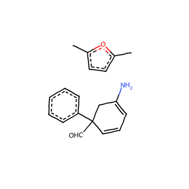 Cc1ccc(C)o1.NC1=CC=CC(C=O)(c2ccccc2)C1